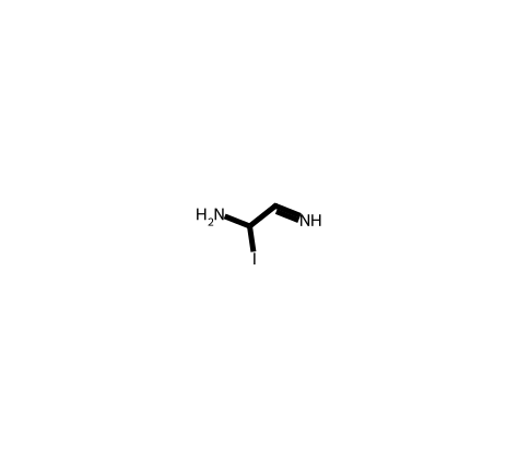 N=CC(N)I